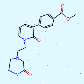 COC(=O)c1ccc(-c2cccn(CCN3CCNC(=O)C3)c2=O)cc1